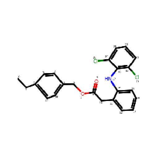 CCc1ccc(COC(=O)Cc2ccccc2Nc2c(Cl)cccc2Cl)cc1